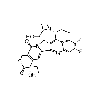 CC[C@@]1(O)C(=O)OCc2c1cc1n(c2=O)Cc2c-1nc1cc(F)c(C)c3c1c2[C@H](N1CCC1CO)CC3